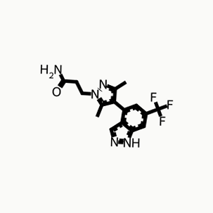 Cc1nn(CCC(N)=O)c(C)c1-c1cc(C(F)(F)F)cc2[nH]ncc12